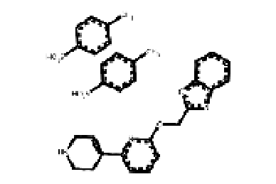 C1=C(c2cccc(OCc3nc4ccccc4o3)n2)CCNC1.Cc1ccc(S(=O)(=O)O)cc1.Cc1ccc(S(=O)(=O)O)cc1